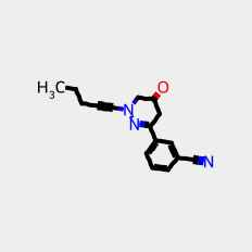 CCCC#CN1CC(=O)CC(c2cccc(C#N)c2)=N1